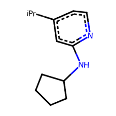 CC(C)c1ccnc(NC2CCCC2)c1